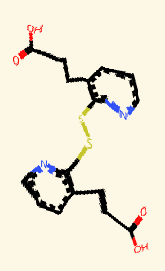 O=C(O)CCc1cccnc1SSc1ncccc1CCC(=O)O